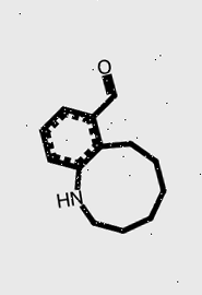 O=Cc1cccc2c1CCCCCCN2